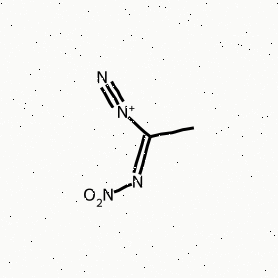 C/C(=N/[N+](=O)[O-])[N+]#N